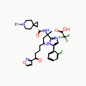 CCN1CCC2(CC1)C[C@@H]2C(=O)NC(C)(CCCCCC(=O)c1ccon1)c1ncc(-c2ccccc2F)[nH]1.O=C(O)C(F)(F)F